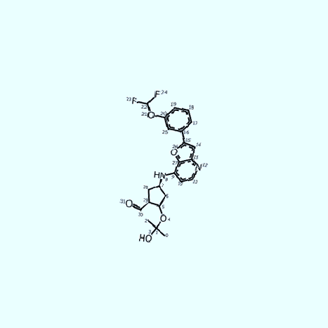 CC(C)(O)OC1C[C@H](Nc2ccnc3cc(-c4cccc(OC(F)F)c4)oc23)C[C@@H]1C=O